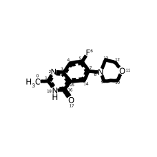 Cc1nc2cc(F)c(N3CCOCC3)cc2c(=O)[nH]1